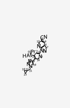 CC(C)[AsH]c1cc(-n2ncc3cc(C#N)cnc32)ncc1-c1cn(CC2CC2)nn1